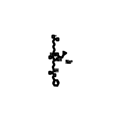 O=C([O-])CCCCCNC(=O)[C@H](CCCNC(=O)OCc1ccccc1)NC(=O)CC1CC1.[Na+]